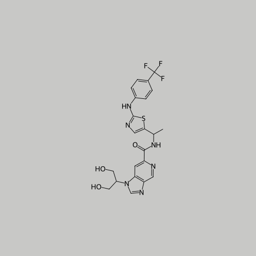 CC(NC(=O)c1cc2c(cn1)ncn2C(CO)CO)c1cnc(Nc2ccc(C(F)(F)F)cc2)s1